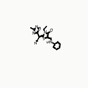 CCn1c(=C(C#N)c2nc(C)no2)sc(=CNc2ccccc2)c1=O